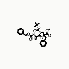 COC(=O)C1(Cc2ccccc2)CN(C(=O)OC(C)(C)C)C(C(C)NC(=O)OCc2ccccc2)=N1